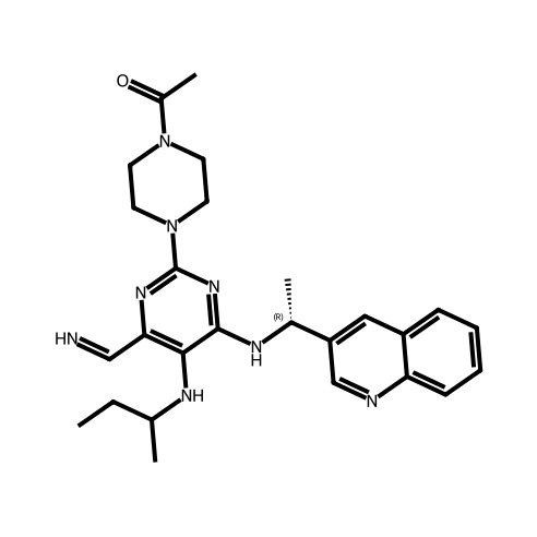 CCC(C)Nc1c(C=N)nc(N2CCN(C(C)=O)CC2)nc1N[C@H](C)c1cnc2ccccc2c1